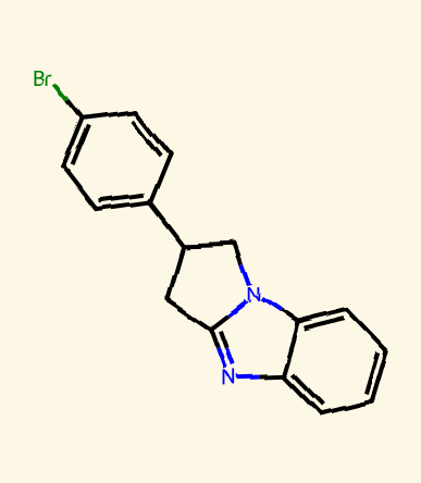 Brc1ccc(C2Cc3nc4ccccc4n3C2)cc1